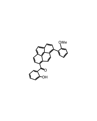 COc1ccccc1-c1ccc2ccc3ccc(C(=O)c4ccccc4O)c4ccc1c2c34